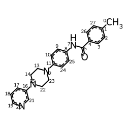 Cc1ccc(C(=O)Nc2ccc(N3CCN(c4cccnc4)CC3)cc2)cc1